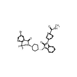 CNC(=O)c1ccc(-n2c(=O)n(C[C@H]3CC[C@H](NC(=O)c4cc(Br)cnc4C(F)(F)F)CC3)c3ccccc32)cn1